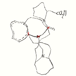 O=C(O)C1CCCN1C(=O)N(c1ccccc1)C1CC2CCCC(C1)N2C1CC2CCCC(C2)C1